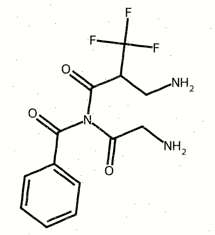 NCC(=O)N(C(=O)c1ccccc1)C(=O)C(CN)C(F)(F)F